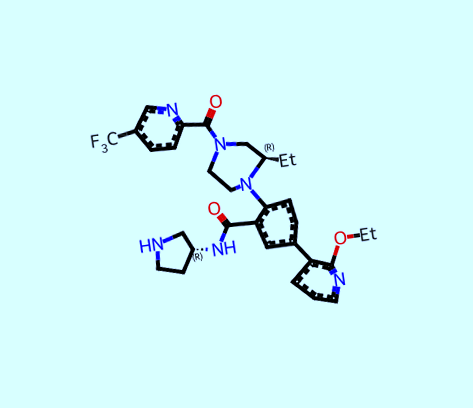 CCOc1ncccc1-c1ccc(N2CCN(C(=O)c3ccc(C(F)(F)F)cn3)C[C@H]2CC)c(C(=O)N[C@@H]2CCNC2)c1